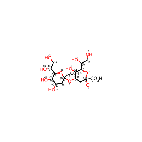 O=C(O)[C@@]1(O[C@@H]2C[C@](O)(C(=O)O)O[C@H]([C@H](O)CO)[C@@H]2O)C[C@@H](O)[C@@H](O)[C@@H]([C@H](O)CO)O1